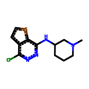 CN1CCCC(Nc2nnc(Cl)c3ccsc23)C1